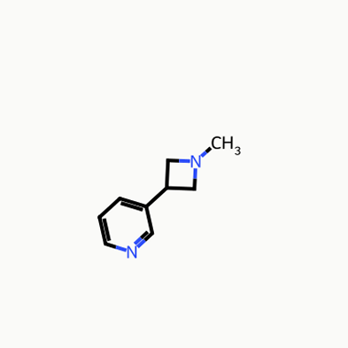 CN1CC(c2cccnc2)C1